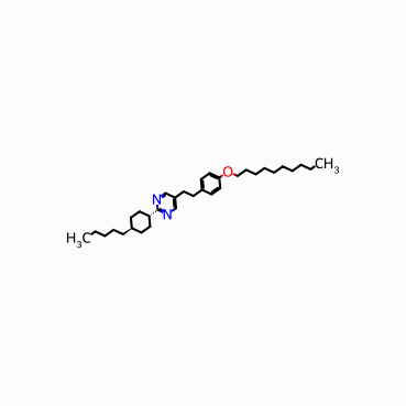 CCCCCCCCCCOc1ccc(CCc2cnc([C@H]3CC[C@H](CCCCC)CC3)nc2)cc1